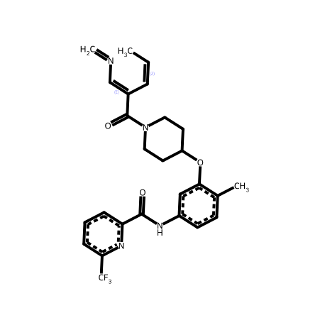 C=N/C=C(\C=C/C)C(=O)N1CCC(Oc2cc(NC(=O)c3cccc(C(F)(F)F)n3)ccc2C)CC1